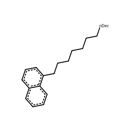 CCCCCCCCCCCCCCCC[CH]c1cccc2ccccc12